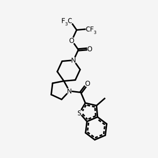 Cc1c(C(=O)N2CCCC23CCN(C(=O)OC(C(F)(F)F)C(F)(F)F)CC3)sc2ccccc12